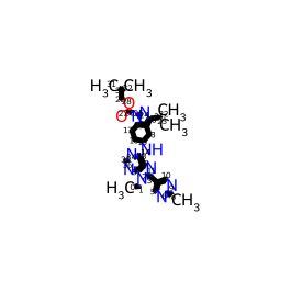 CCn1c(-c2cnc(C)nc2)nc2c(NC3CCc4c(c(C(C)C)nn4C(=O)OCC(C)C)C3)ncnc21